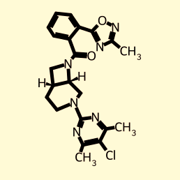 Cc1noc(-c2ccccc2C(=O)N2C[C@H]3CCN(c4nc(C)c(Cl)c(C)n4)C[C@H]32)n1